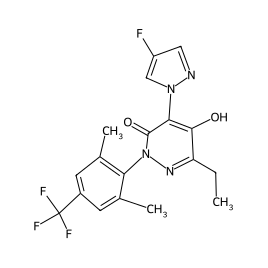 CCc1nn(-c2c(C)cc(C(F)(F)F)cc2C)c(=O)c(-n2cc(F)cn2)c1O